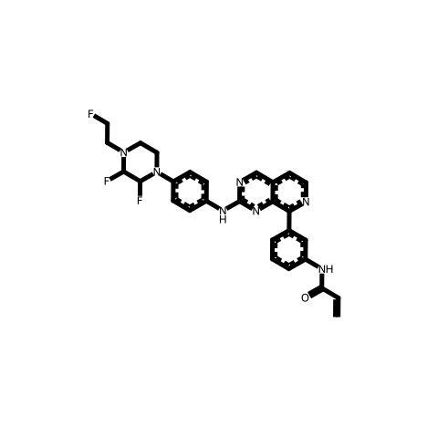 C=CC(=O)Nc1cccc(-c2nccc3cnc(Nc4ccc(N5CCN(CCF)C(F)C5F)cc4)nc23)c1